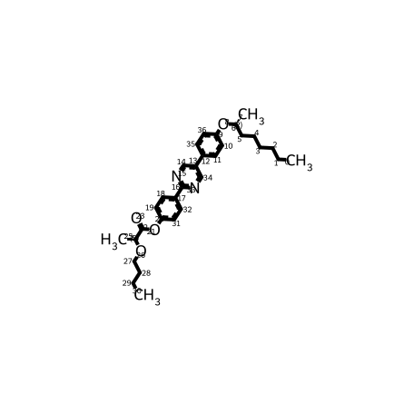 CCCCCC[C@@H](C)Oc1ccc(-c2cnc(-c3ccc(OC(=O)[C@H](C)OCCCC)cc3)nc2)cc1